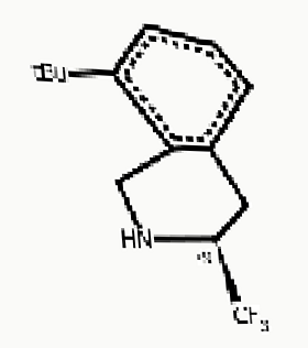 CC(C)(C)c1cccc2c1CN[C@H](C(F)(F)F)C2